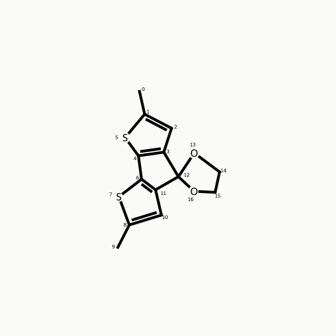 Cc1cc2c(s1)-c1sc(C)cc1C21OCCO1